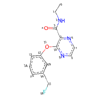 CCNC(=O)c1nccnc1Oc1cccc(CF)c1